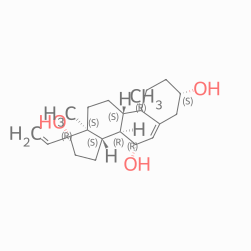 C=C[C@]1(O)CC[C@H]2[C@@H]3[C@@H](O)C=C4C[C@@H](O)CC[C@]4(C)[C@H]3CC[C@@]21C